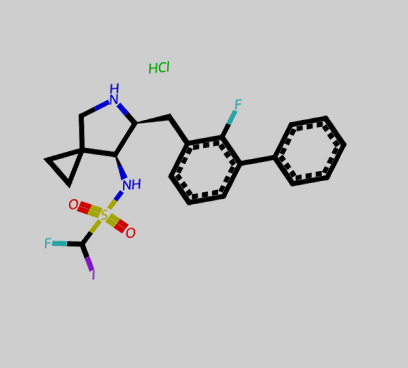 Cl.O=S(=O)(N[C@@H]1[C@H](Cc2cccc(-c3ccccc3)c2F)NCC12CC2)C(F)I